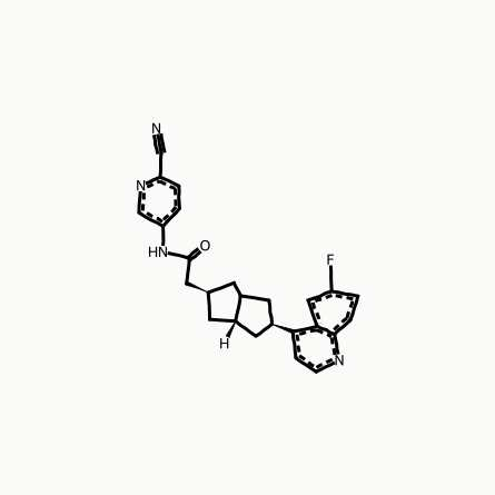 N#Cc1ccc(NC(=O)C[C@H]2CC3C[C@@H](c4ccnc5ccc(F)cc45)C[C@@H]3C2)cn1